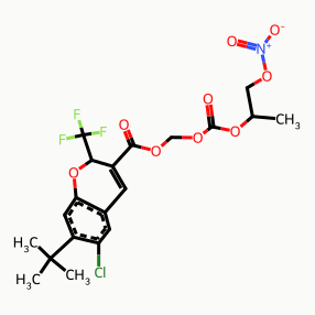 CC(CO[N+](=O)[O-])OC(=O)OCOC(=O)C1=Cc2cc(Cl)c(C(C)(C)C)cc2OC1C(F)(F)F